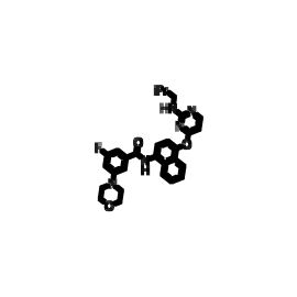 CC(C)CNc1nccc(Oc2ccc(NC(=O)c3cc(F)cc(N4CCOCC4)c3)c3ccccc23)n1